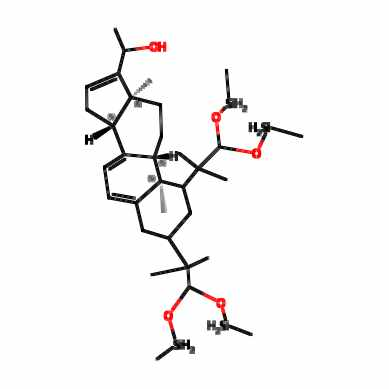 C[SiH2]OC(O[SiH2]C)C(C)(C)C1CC2=CC=C3[C@@H]4CC=C(C(C)O)[C@@]4(C)CC[C@@H]3[C@@]2(C)C(C(C)(C)C(O[SiH2]C)O[SiH2]C)C1